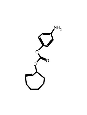 Nc1ccc(OC(=O)OC2/C=C/CCCCC2)cc1